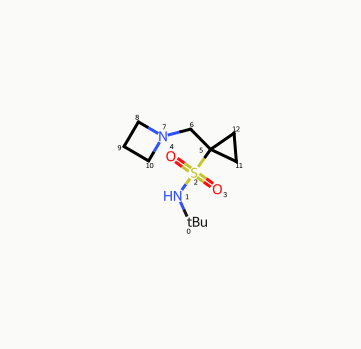 CC(C)(C)NS(=O)(=O)C1(CN2CCC2)CC1